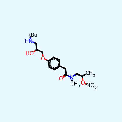 CC(CN(C)C(=O)Cc1ccc(OCC(O)CNC(C)(C)C)cc1)O[N+](=O)[O-]